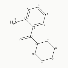 C=C(c1ccccc1N)C1CCCCC1